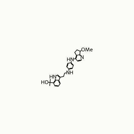 COC1CCc2c(Nc3ccc(NCCc4c[nH]c5c(C(C)(C)O)cccc45)cc3)ccnc21